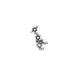 Cc1ccc(F)cc1COc1ccc(S(=O)(=O)N2CCC(O)CC2C(=O)O)cc1